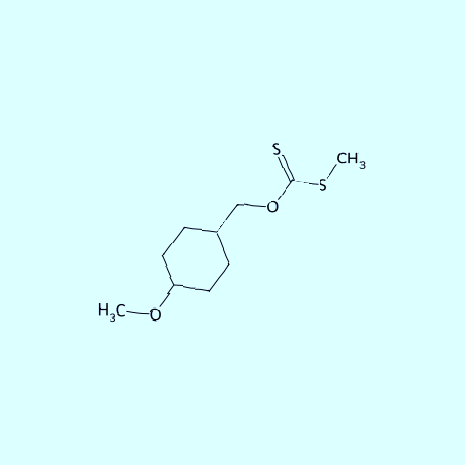 COC1CCC(COC(=S)SC)CC1